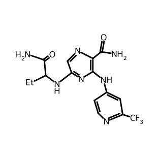 CCC(Nc1cnc(C(N)=O)c(Nc2ccnc(C(F)(F)F)c2)n1)C(N)=O